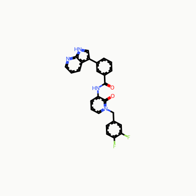 O=C(Nc1cccn(Cc2ccc(F)c(F)c2)c1=O)c1cccc(-c2c[nH]c3ncccc23)c1